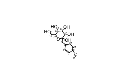 COc1ccc(CC2(O)O[C@@H](CO)[C@@H](O)[C@@H](O)[C@@H]2O)cc1